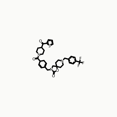 O=C(c1cccs1)C1CCN(C(=O)C2C=CC(CN3CC4(CCN(Cc5ccc(C(F)(F)F)cc5)CC4)OC3=O)=CC2)CC1